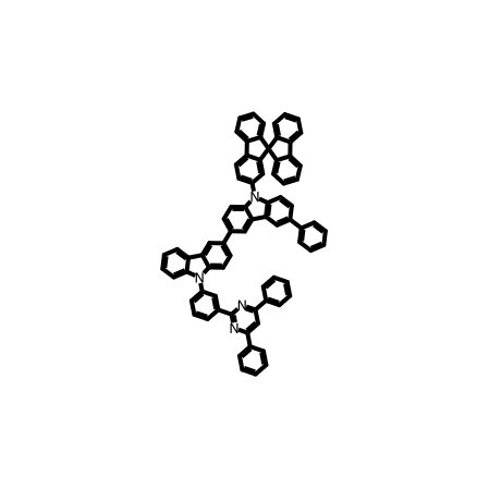 c1ccc(-c2ccc3c(c2)c2cc(-c4ccc5c(c4)c4ccccc4n5-c4cccc(-c5nc(-c6ccccc6)cc(-c6ccccc6)n5)c4)ccc2n3-c2ccc3c(c2)C2(c4ccccc4-c4ccccc42)c2ccccc2-3)cc1